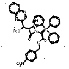 CC(=O)OC(c1cnc2ccccc2n1)C1C(=O)N(C(C(=O)OCc2ccc([N+](=O)[O-])cc2)=P(c2ccccc2)(c2ccccc2)c2ccccc2)C1S